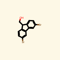 OCC1c2ccc(Br)cc2-c2cc(Br)ccc21